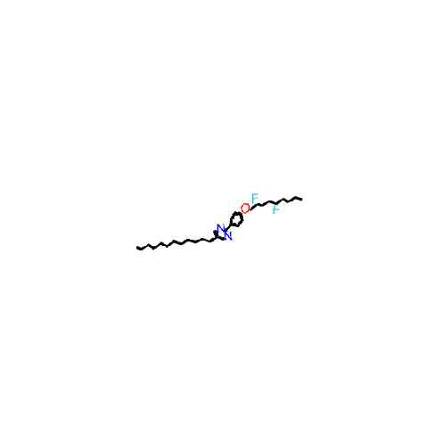 CCCCCCCCCCCCc1cnc(-c2ccc(OCC(F)CCC(F)CCCC)cc2)nc1